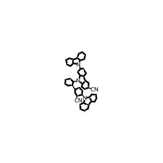 N#Cc1ccc2c(c1)c1ccc(-n3c4ccccc4c4ccccc43)cc1n2-c1ccccc1-c1ccc(-n2c3ccccc3c3ccccc32)c(C#N)c1